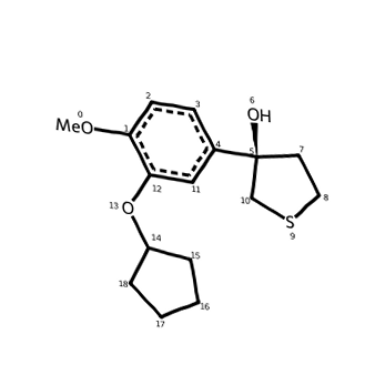 COc1ccc([C@]2(O)CCSC2)cc1OC1CCCC1